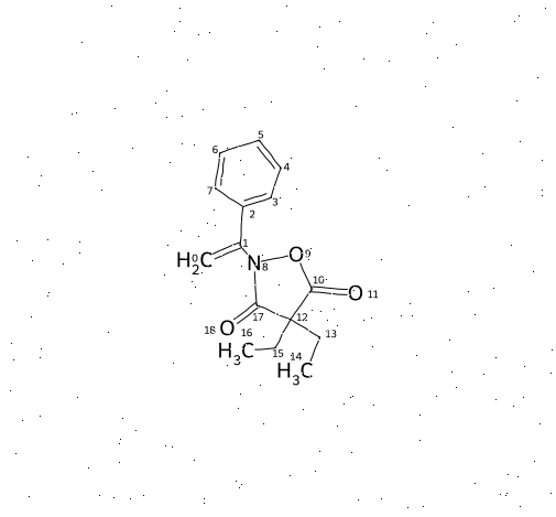 C=C(c1ccccc1)N1OC(=O)C(CC)(CC)C1=O